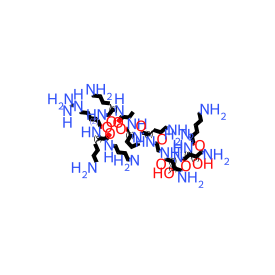 CC(NC(=O)[C@@H]1CCCN1C(=O)[C@@H](CCCN)NC(=O)CNC(=O)[C@@H](NC(=O)[C@@H](NC(=O)C(N)CCCCN)[C@@H](O)CN)[C@@H](O)CN)C(=O)N[C@@H](CCCCN)C(=O)N/C(=C\CCNC(=N)N)C(=O)N[C@@H](CCCCN)C(=O)NCCCCN